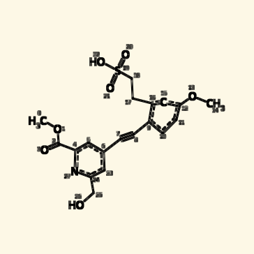 COC(=O)c1cc(C#Cc2ccc(OC)cc2CCS(=O)(=O)O)cc(CO)n1